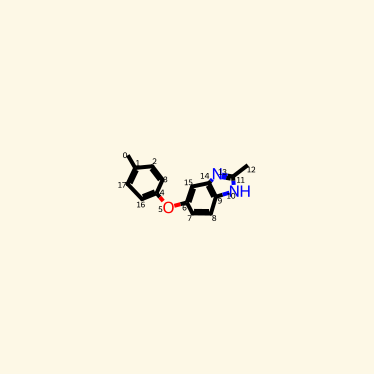 Cc1ccc(Oc2ccc3[nH]c(C)nc3c2)cc1